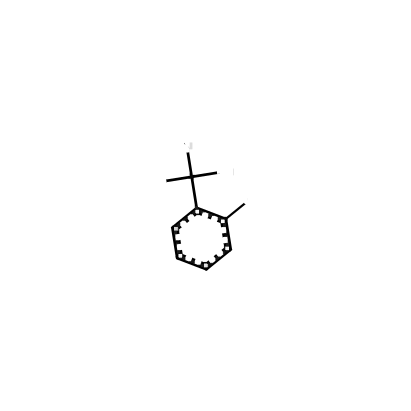 Cc1ccccc1C(C)(C)[NH]